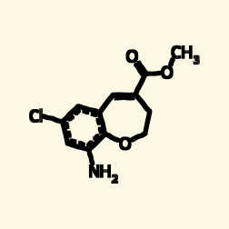 COC(=O)C1=Cc2cc(Cl)cc(N)c2OCC1